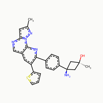 Cc1cc2ncc3cc(-c4cccs4)c(-c4ccc([C@]5(N)C[C@@](C)(O)C5)cc4)nc3n2n1